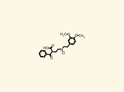 COc1ccc(CCN(Cl)CCC(C(=O)O)C(=O)c2ccccc2)cc1OC